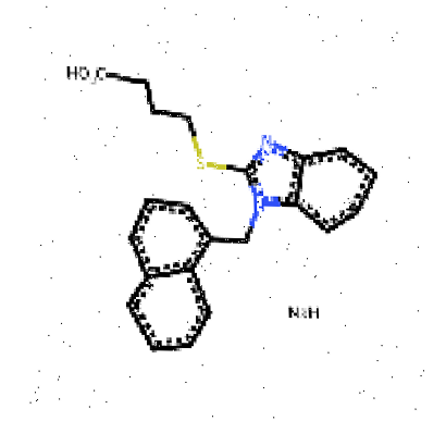 O=C(O)CCCSc1nc2ccccc2n1Cc1cccc2ccccc12.[NaH]